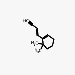 C#CC=CC1=CCCCC1(C)C